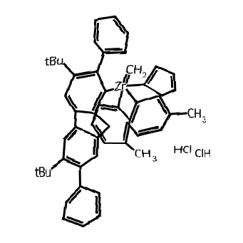 Cl.Cl.[CH2]=[Zr]([C]1=CC=CC1)([c]1cccc(C)c1)([c]1cccc(C)c1)[c]1c2c(cc(C(C)(C)C)c1-c1ccccc1)-c1cc(C(C)(C)C)c(-c3ccccc3)cc1C2